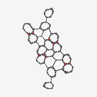 c1ccc(-c2cc(-c3ccccc3)c(B3c4ccccc4-c4ccc5cc6c7c(ccc8cc3c4c5c87)-c3ccccc3B6c3c(-c4ccccc4)cc(-c4ccccc4)cc3-c3ccccc3)c(-c3ccccc3)c2)cc1